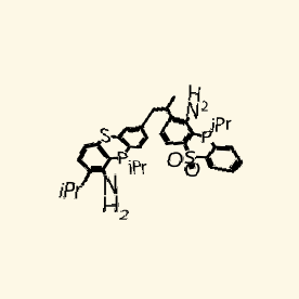 CC(C)c1ccc2c(c1N)P(C(C)C)c1ccc(CC(C)c3ccc4c(c3N)P(C(C)C)c3ccccc3S4(=O)=O)cc1S2